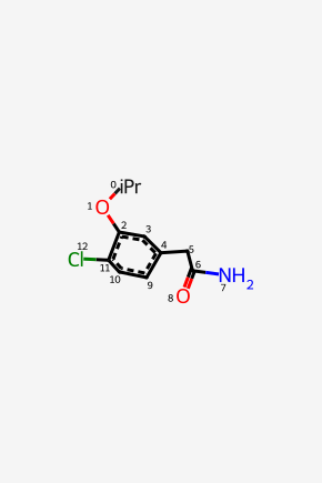 CC(C)Oc1cc(CC(N)=O)ccc1Cl